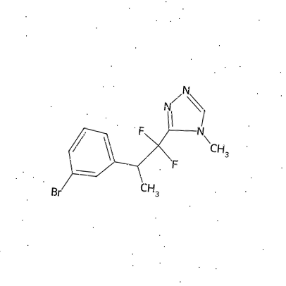 CC(c1cccc(Br)c1)C(F)(F)c1nncn1C